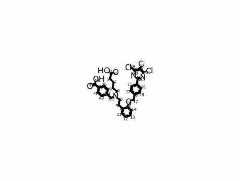 O=C(O)CCCCN(CCc1ccccc1OCc1ccc(-c2nc(Cl)c(Cl)c(Cl)n2)cc1)Cc1ccc(C(=O)O)cc1